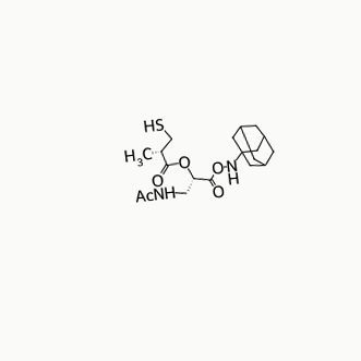 CC(=O)NC[C@H](OC(=O)[C@H](C)CS)C(=O)ONC12CC3CC(CC(C3)C1)C2